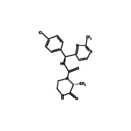 C[C@@H]1C(=O)NCCN1C(=O)N[C@@H](c1ccc(Cl)cc1)c1ccnc(C(F)(F)F)n1